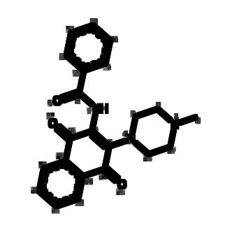 CN1CCN(C2=C(NC(=O)c3ccccc3)C(=O)c3ccccc3C2=O)CC1